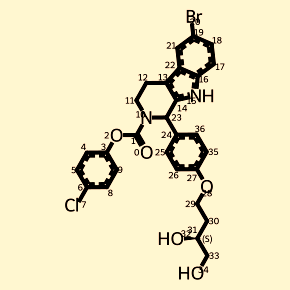 O=C(Oc1ccc(Cl)cc1)N1CCc2c([nH]c3ccc(Br)cc23)C1c1ccc(OCC[C@H](O)CO)cc1